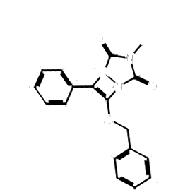 Cn1c(=O)n2c(SCc3ccccc3)c(-c3ccccc3)n2c1=O